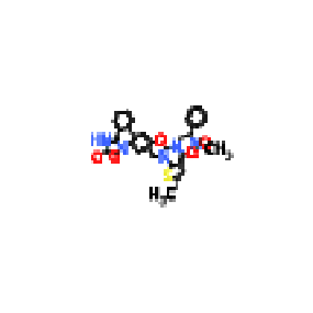 CCc1cc2c(=O)n(CC(=NOC)c3ccccc3)c(=O)n(Cc3ccc(-c4ccccc4-c4noc(=O)[nH]4)cc3)c2s1